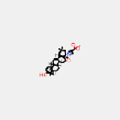 COC(=O)C1CN(C(=O)[C@]23CCC(C)(C)C[C@H]2C2=CC[C@@H]4[C@@]5(C)CC[C@H](O)C(C)(C)[C@@H]5CC[C@@]4(C)[C@]2(C)CC3)C1